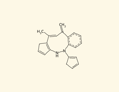 C=C1/C=C(\C)C2=C(C=CC2)NN(C2=CC=CC2)c2ccccc21